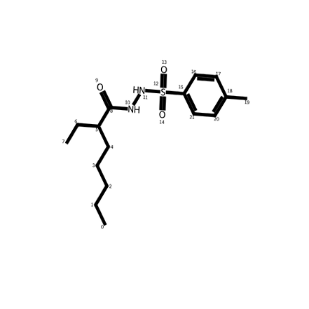 CCCCCC(CC)C(=O)NNS(=O)(=O)c1ccc(C)cc1